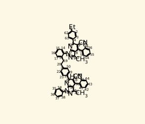 CCc1ccc(-c2nc3c(c(C)nn3-c3ccccc3CCc3ccc(-c4nc5c(c(C)nn5-c5ccccc5)c(-c5ccccc5C)c4C#N)cc3)c(-c3ccccc3F)c2C#N)cc1